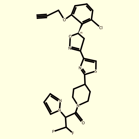 C#CCOc1cccc(Cl)c1[C@H]1CC(c2csc(C3CCN(C(=O)C(C(F)F)n4cccn4)CC3)n2)=NO1